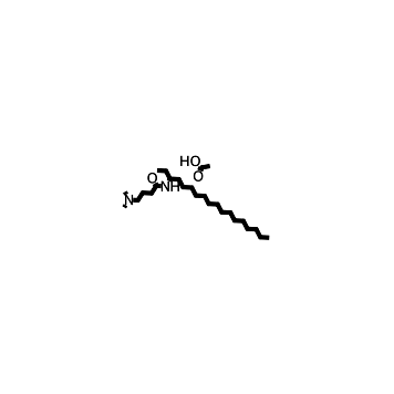 CC(=O)O.CCCCCCCCCCCCCCCC(CC)NC(=O)CCCN(C)C